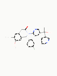 COc1cc2c(cc1OC(C)C)[C@H](c1ccc(Cl)cc1)N(c1ccc(C(C)(O)c3cccnc3)cn1)C(=O)C2